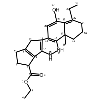 CCOC(=O)C1CCC2=C1C1=C(C2)C2=C(NN1)C1(C)CCCC(CC)=C1C(O)=C2